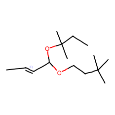 C/C=C/C(OCCC(C)(C)C)OC(C)(C)CC